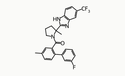 Cc1ccc(-c2cccc(F)c2)c(C(=O)N2CCCC2(C)c2nc3cc(C(F)(F)F)ccc3[nH]2)c1